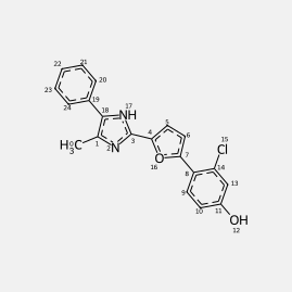 Cc1nc(-c2ccc(-c3ccc(O)cc3Cl)o2)[nH]c1-c1ccccc1